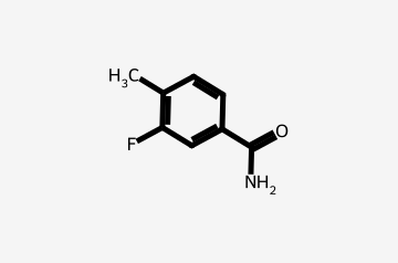 Cc1ccc(C(N)=O)cc1F